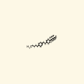 CCCCCC1CCC(CCC2CCC(C(F)(F)C(F)(F)C(F)(F)F)CC2)CC1